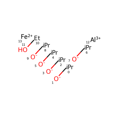 CC(C)[O-].CC(C)[O-].CC(C)[O-].CC(C)[O-].CC(C)[O-].CCO.[Al+3].[Fe+2]